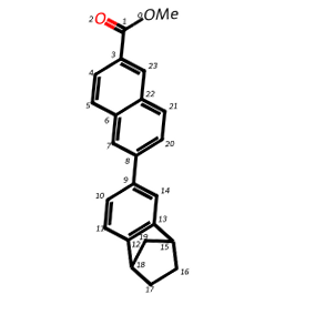 COC(=O)c1ccc2cc(-c3ccc4c(c3)C3CCC4C3)ccc2c1